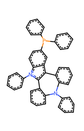 c1ccc(N2c3ccccc3-c3c(n(-c4ccccc4)c4ccc(P(c5ccccc5)c5ccccc5)cc34)-c3ccccc32)cc1